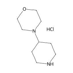 C1CC(N2CCOCC2)CCN1.Cl